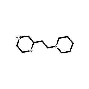 C1CCN(CCC2CNCC[N]2)CC1